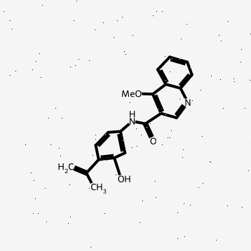 C=C(C)c1ccc(NC(=O)c2cnc3ccccc3c2OC)cc1O